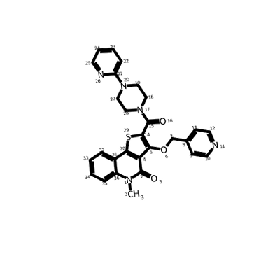 Cn1c(=O)c2c(OCc3ccncc3)c(C(=O)N3CCN(c4ccccn4)CC3)sc2c2ccccc21